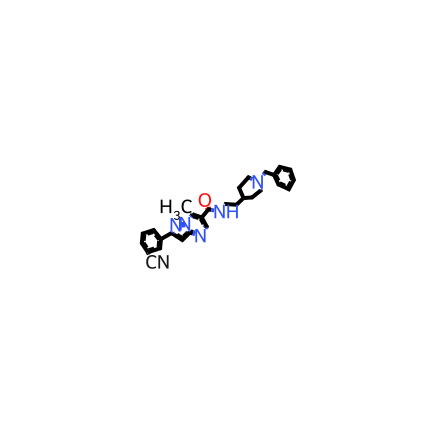 Cc1c(C(=O)NCCC2CCN(Cc3ccccc3)CC2)cnc2cc(-c3cccc(C#N)c3)nn12